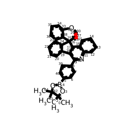 CC1(C)OB(c2ccc(-c3nc4ccccc4c4c3-c3ccccc3C43c4ccccc4Oc4ccccc43)cc2)OC1(C)C